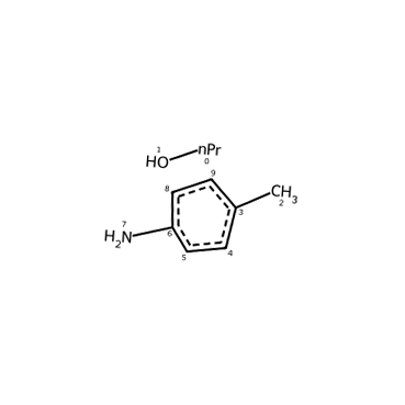 CCCO.Cc1ccc(N)cc1